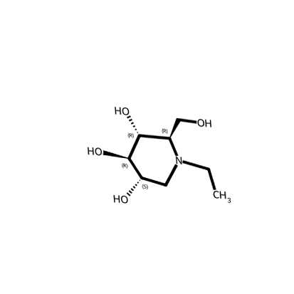 CCN1C[C@H](O)[C@@H](O)[C@H](O)[C@H]1CO